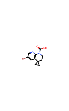 O=C(O)N1CCC2(CC2)c2cc(Br)cnc21